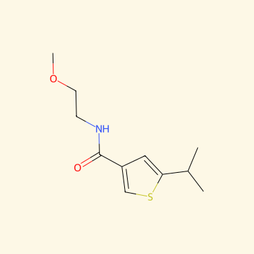 COCCNC(=O)c1csc(C(C)C)c1